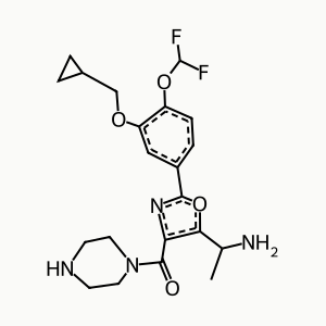 CC(N)c1oc(-c2ccc(OC(F)F)c(OCC3CC3)c2)nc1C(=O)N1CCNCC1